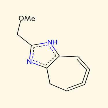 COCc1nc2c([nH]1)C=C=C=CC2